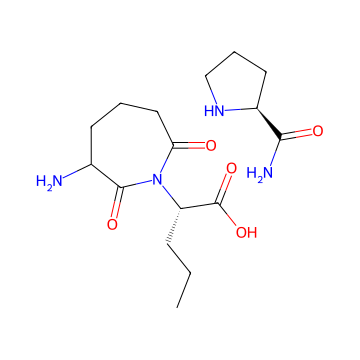 CCC[C@@H](C(=O)O)N1C(=O)CCCC(N)C1=O.NC(=O)[C@@H]1CCCN1